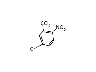 O=[N+]([O-])c1ccc(Cl)cc1C(Cl)(Cl)Cl